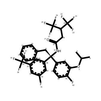 CC(C)Oc1cc([C@@](Cc2ccccc2)(NC(=O)CC(C(F)(F)F)C(F)(F)F)c2cc(F)cc(C(F)(F)F)c2)ccc1F